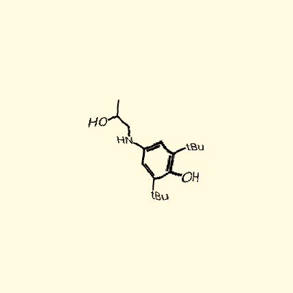 CC(O)CNc1cc(C(C)(C)C)c(O)c(C(C)(C)C)c1